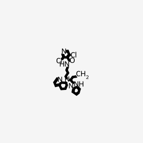 C=CCC(c1nc2ccccc2[nH]1)N(CCCCNC(=O)c1c(Cl)cncc1Cl)C1CCCc2cccnc21